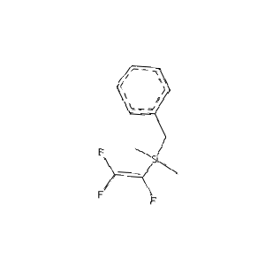 C[Si](C)(Cc1ccccc1)C(F)=C(F)F